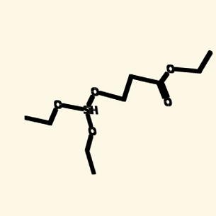 CCOC(=O)CCO[SiH](OCC)OCC